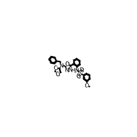 COc1cccc(S(=O)(=O)Nc2ccccc2-c2nnc(N(Cc3ccccc3)C3=COCO3)o2)c1